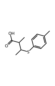 Cc1ccc(SC(C)C(C)C(=O)O)cc1